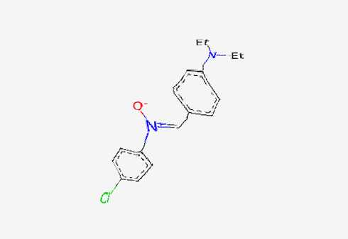 CCN(CC)c1ccc(C=[N+]([O-])c2ccc(Cl)cc2)cc1